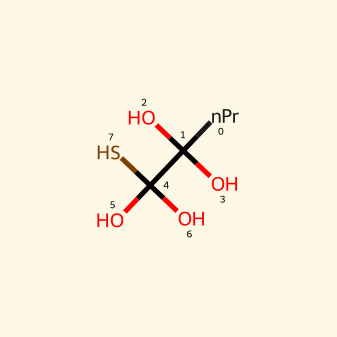 CCCC(O)(O)C(O)(O)S